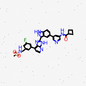 CS(=O)(=O)NCc1cc(F)cc(-c2ccnc3[nH]c(-c4n[nH]c5ccc(-c6cncc(NC(=O)C7CCC7)c6)cc45)nc23)c1